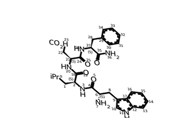 CC(C)C[C@H](NC(=O)[C@@H](N)Cc1c[nH]c2ccccc12)C(=O)N[C@@H](CC(=O)O)C(=O)N[C@@H](Cc1ccccc1)C(N)=O